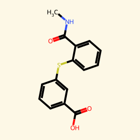 CNC(=O)c1ccccc1Sc1cccc(C(=O)O)c1